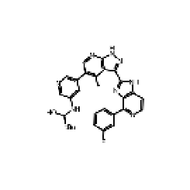 CC(C)(C)C(O)Nc1cncc(-c2cnc3[nH]nc(-c4nc5c(-c6cccc(F)c6)nccc5[nH]4)c3c2F)c1